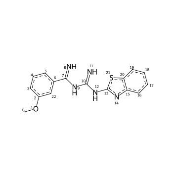 COc1cccc(C(=N)NC(=N)Nc2nc3ccccc3s2)c1